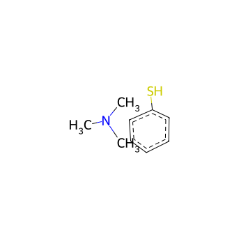 CN(C)C.Sc1ccccc1